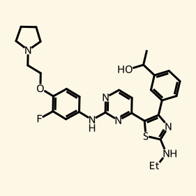 CCNc1nc(-c2cccc(C(C)O)c2)c(-c2ccnc(Nc3ccc(OCCN4CCCC4)c(F)c3)n2)s1